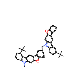 Cn1c2cc3oc4ccc(Cn5c6ccc(C(C)(C)C)cc6c6cc7c(cc65)oc5ccccc57)cc4c3cc2c2c(C(C)(C)C)cccc21